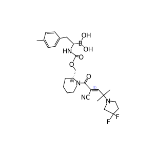 Cc1ccc(CC(NC(=O)OC[C@H]2CCCCN2C(=O)/C(C#N)=C/C(C)(C)N2CCC(F)(F)C2)B(O)O)cc1